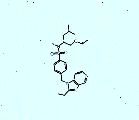 CCOCC(CC(C)C)N(C)S(=O)(=O)c1ccc(Cn2c(CC)nc3cnccc32)cc1